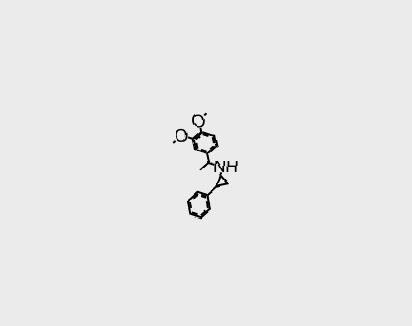 COc1ccc(C(C)NC2CC2c2ccccc2)cc1OC